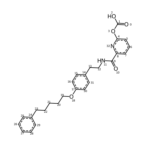 O=C(O)Oc1cccc(C(=O)NCCc2ccc(OCCCCCc3ccccc3)cc2)n1